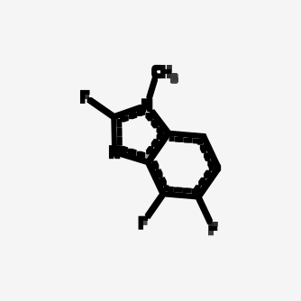 Cn1c(F)nc2c(F)c(F)ccc21